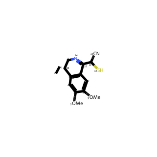 CC.COc1cc2c(cc1OC)C(C(S)C#N)=NCC2